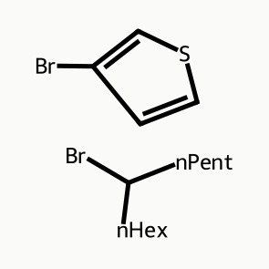 Brc1ccsc1.CCCCCCC(Br)CCCCC